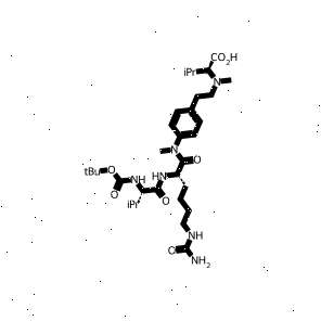 CC(C)[C@H](NC(=O)OC(C)(C)C)C(=O)N[C@@H](CCCCNC(N)=O)C(=O)N(C)c1ccc(CCN(C)[C@H](C(=O)O)C(C)C)cc1